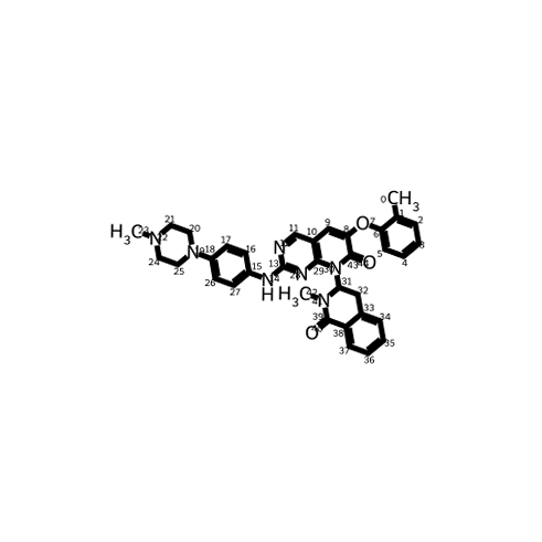 Cc1ccccc1Oc1cc2cnc(Nc3ccc(N4CCN(C)CC4)cc3)nc2n(C2Cc3ccccc3C(=O)N2C)c1=O